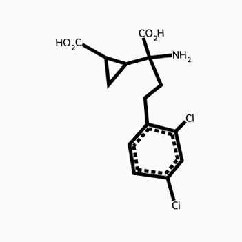 NC(CCc1ccc(Cl)cc1Cl)(C(=O)O)C1CC1C(=O)O